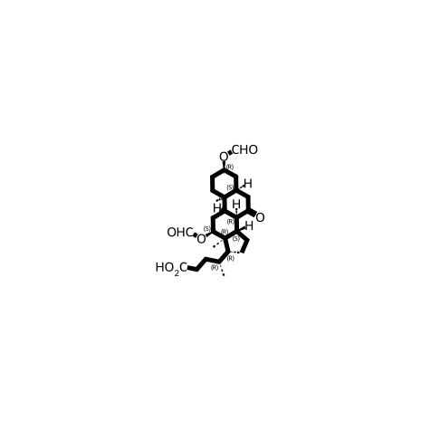 C[C@H](CCC(=O)O)[C@H]1CC[C@H]2[C@@H]3C(=O)C[C@@H]4C[C@H](OC=O)CC[C@]4(C)[C@H]3C[C@H](OC=O)[C@]12C